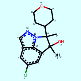 BC1(O)c2cc(Cl)cc3cnn(c23)C1(C)C1CCOCC1